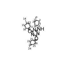 Cc1ccc(Nc2nc(Oc3ccc(C)cc3)nc(Oc3ccc(C)cc3)n2)cc1